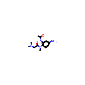 CC(=O)Nc1cc(N)ccc1N(C)C(=O)CN(C)C